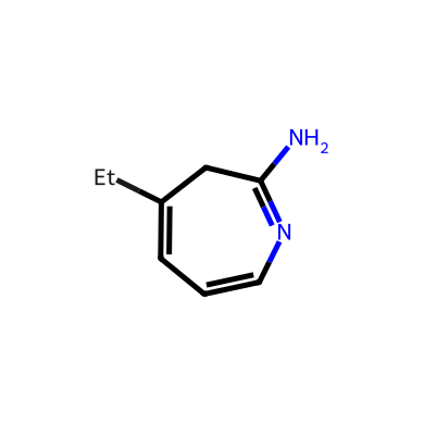 CCC1=CC=CN=C(N)C1